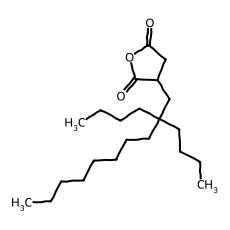 CCCCCCCCC(CCCC)(CCCC)CC1CC(=O)OC1=O